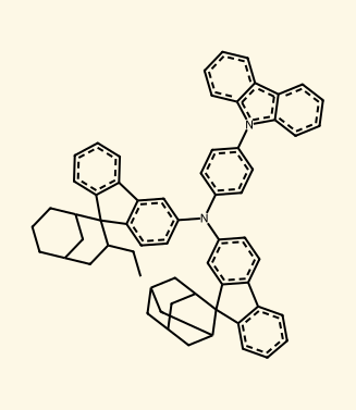 CCC1CC2CCCC(C2)C12c1ccccc1-c1cc(N(c3ccc(-n4c5ccccc5c5ccccc54)cc3)c3ccc4c(c3)C3(c5ccccc5-4)C4CC5CC(C4)CC3C5)ccc12